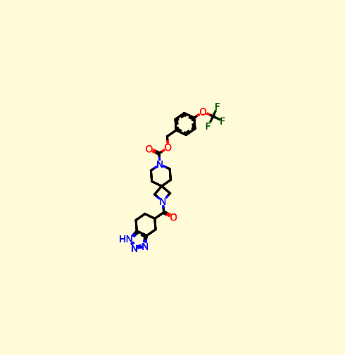 O=C(OCc1ccc(OC(F)(F)F)cc1)N1CCC2(CC1)CN(C(=O)C1CCc3[nH]nnc3C1)C2